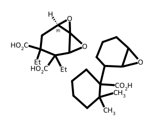 CC1(C)CCCCC1(C(=O)O)C1CCCC2OC21.CCC1(C(=O)O)C[C@H]2OC23OC3C1(CC)C(=O)O